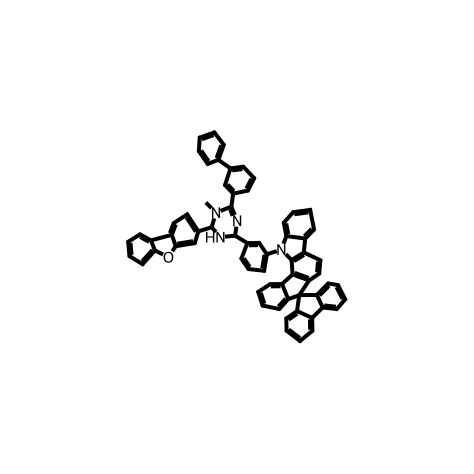 CN1C(c2cccc(-c3ccccc3)c2)=NC(c2cccc(-n3c4ccccc4c4ccc5c(c43)-c3ccccc3C53c4ccccc4-c4ccccc43)c2)NC1c1ccc2c(c1)oc1ccccc12